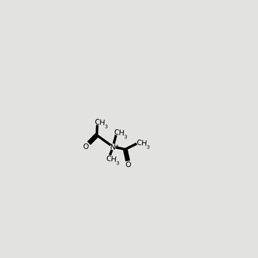 CC(=O)[N+](C)(C)C(C)=O